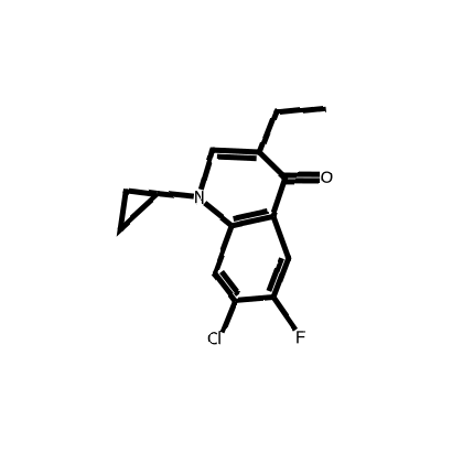 CCc1cn(C2CC2)c2cc(Cl)c(F)cc2c1=O